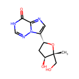 C[C@]1(CO)O[C@@H](c2cnc3c(=O)[nH]cnn23)C[C@@H]1O